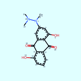 CCN(c1cc(O)c2c(c1)C(=O)c1c(O)cccc1C2=O)N(C)C